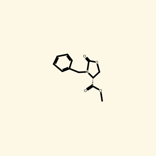 COC(=O)[C@H]1COC(=O)N1Cc1ccccc1